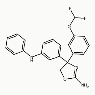 NC1=NC(c2cccc(Nc3ccccc3)c2)(c2cccc(OC(F)F)c2)CO1